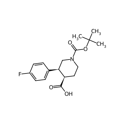 CC(C)(C)OC(=O)N1CC[C@@H](C(=O)O)[C@@H](c2ccc(F)cc2)C1